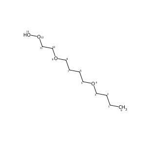 CCCCOCCCCOCCOO